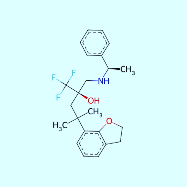 C[C@@H](NC[C@](O)(CC(C)(C)c1cccc2c1OCC2)C(F)(F)F)c1ccccc1